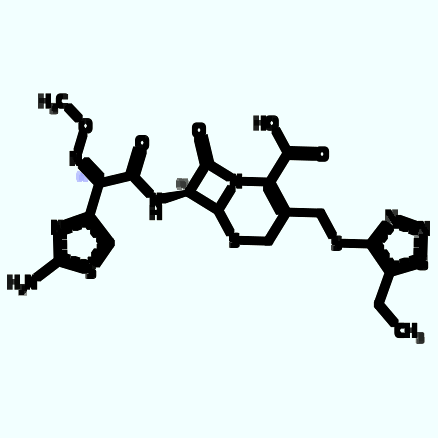 CCc1snnc1SCC1=C(C(=O)O)N2C(=O)[C@H](NC(=O)/C(=N\OC)c3csc(N)n3)C2SC1